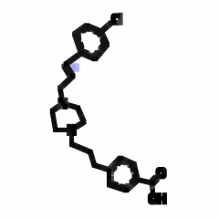 O=C(O)c1ccc(CCCN2CCN(C/C=C/c3ccc(Cl)cc3)CC2)cc1